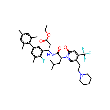 CCOC(=O)C[C@H](NC(=O)C(CC(C)C)n1cc(CCN2CCCCC2)c(C(F)(F)F)cc1=O)c1cc(-c2c(C)cc(C)cc2C)cc(C)c1F